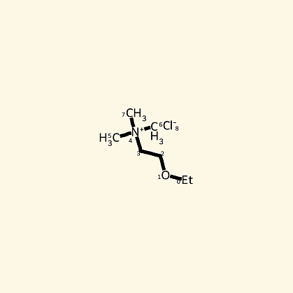 CCOCC[N+](C)(C)C.[Cl-]